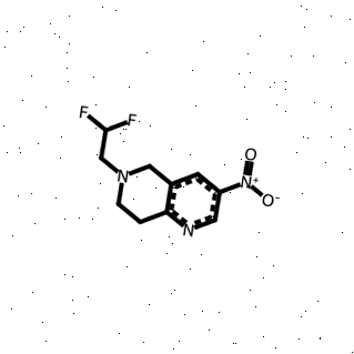 O=[N+]([O-])c1cnc2c(c1)CN(CC(F)F)CC2